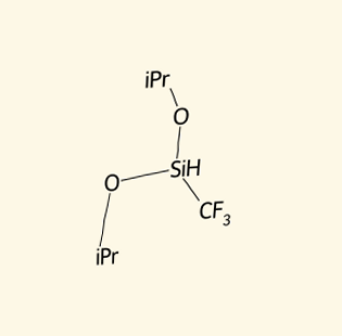 CC(C)O[SiH](OC(C)C)C(F)(F)F